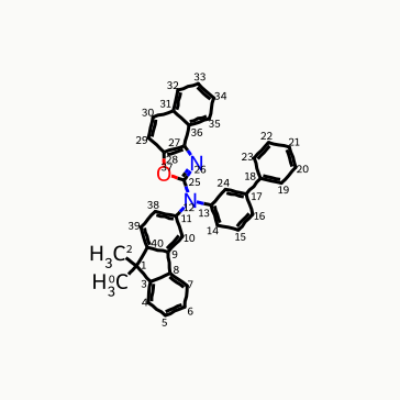 CC1(C)c2ccccc2-c2cc(N(c3cccc(-c4ccccc4)c3)c3nc4c(ccc5ccccc54)o3)ccc21